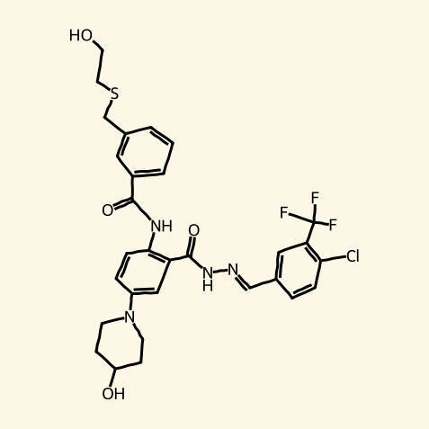 O=C(Nc1ccc(N2CCC(O)CC2)cc1C(=O)N/N=C/c1ccc(Cl)c(C(F)(F)F)c1)c1cccc(CSCCO)c1